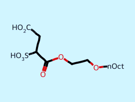 CCCCCCCCOCCOC(=O)C(CC(=O)O)S(=O)(=O)O